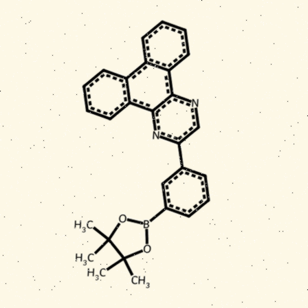 CC1(C)OB(c2cccc(-c3cnc4c5ccccc5c5ccccc5c4n3)c2)OC1(C)C